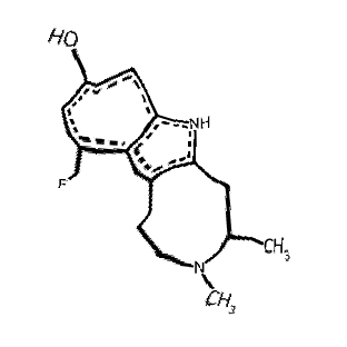 CC1Cc2[nH]c3cc(O)cc(F)c3c2CCN1C